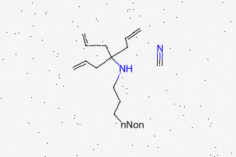 C#N.C=CCC(CC=C)(CC=C)NCCCCCCCCCCCC